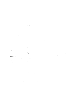 COC(=O)[C@@H]1C[C@H](OCOCCF)C(=O)[C@H]2[C@@]1(C)CC[C@H]1C(=O)O[C@@H](c3ccoc3)C[C@]21C